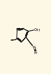 Cc1ccc(O)c(N=[N])c1